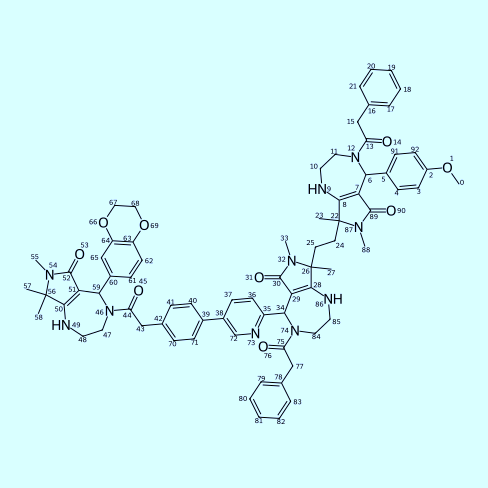 COc1ccc(C2C3=C(NCCN2C(=O)Cc2ccccc2)C(C)(CCC2(C)C4=C(C(=O)N2C)C(c2ccc(-c5ccc(CC(=O)N6CCNC7=C(C(=O)N(C)C7(C)C)C6c6ccc7c(c6)OCCO7)cc5)cn2)N(C(=O)Cc2ccccc2)CCN4)N(C)C3=O)cc1